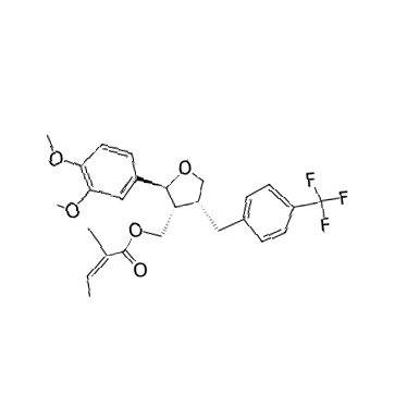 C/C=C(/C)C(=O)OC[C@H]1[C@@H](Cc2ccc(C(F)(F)F)cc2)CO[C@@H]1c1ccc(OC)c(OC)c1